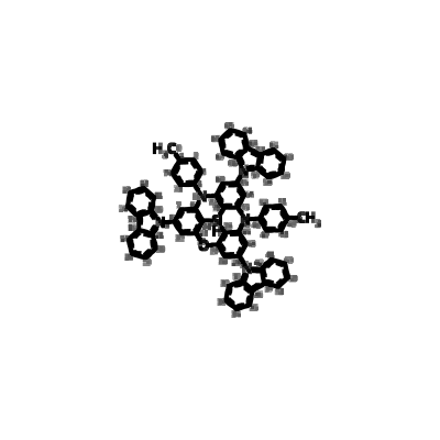 Cc1ccc(N2c3cc(-n4c5ccccc5c5ccccc54)cc4c3[SiH]3c5c(cc(-n6c7ccccc7c7ccccc76)cc5N(c5ccc(C)cc5)c5cc(-n6c7ccccc7c7ccccc76)cc2c53)O4)cc1